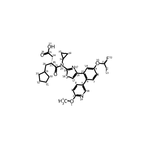 COc1ccc(-c2ccc(OC(F)F)cc2-c2csc(N(C(=O)[C@@H](CC(=O)O)CC3CCCC3)C3CC3)n2)cn1